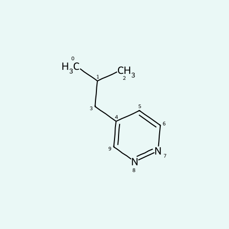 CC(C)Cc1ccnnc1